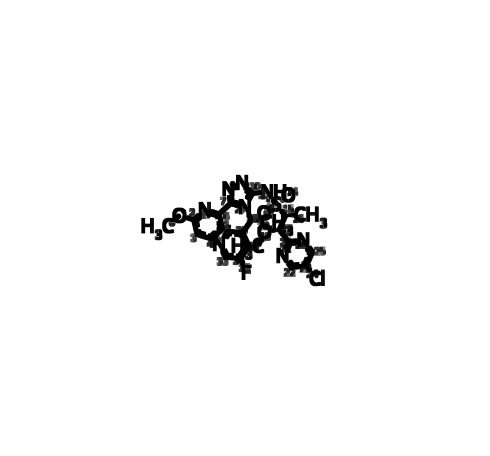 COc1cccc(-c2nnc(NS(=O)(=O)[C@@H](C)[C@H](OC)c3ncc(Cl)cn3)n2[C@H](C)c2cncc(F)c2)n1